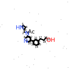 CC(=O)N(C[C@@H]1CCN1)c1cncc(-c2cccc(CCCO)c2)c1